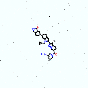 Cc1c(-c2cc3ccc(-c4ccc5c(c4)C(=O)NC5)cc3n2CC2CC2)nn2cc(C(=O)N3C[C@H](N)C[C@@H](F)C3)ccc12